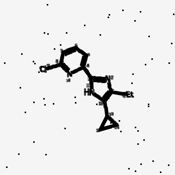 CCc1nc(-c2cccc(Cl)n2)[nH]c1C1CC1